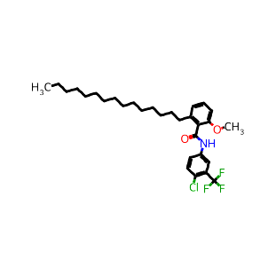 CCCCCCCCCCCCCCCc1cccc(OC)c1C(=O)Nc1ccc(Cl)c(C(F)(F)F)c1